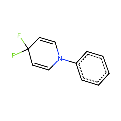 FC1(F)C=CN(c2ccccc2)C=C1